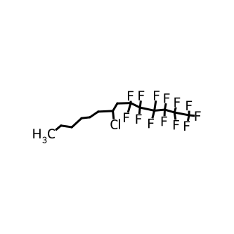 CCCCCCC(Cl)CC(F)(F)C(F)(F)C(F)(F)C(F)(F)C(F)(F)C(F)(F)F